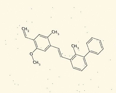 C=Cc1cc(C)c(/C=C/c2cccc(-c3ccccc3)c2C)cc1OC